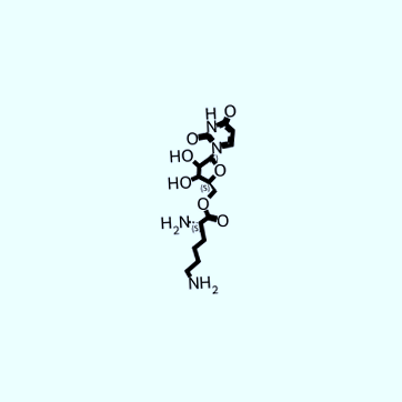 NCCCC[C@H](N)C(=O)OC[C@@H]1O[C@H](n2ccc(=O)[nH]c2=O)C(O)C1O